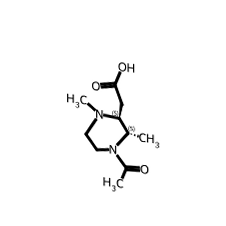 CC(=O)N1CCN(C)[C@@H](CC(=O)O)[C@@H]1C